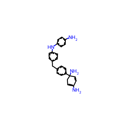 NC1=CCC(N)(c2ccc(Cc3ccc(Nc4ccc(N)cc4)cc3)cc2)C=C1